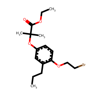 CCCc1cc(OC(C)(C)C(=O)OCC)ccc1OCCBr